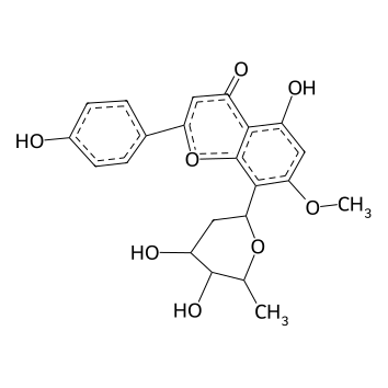 COc1cc(O)c2c(=O)cc(-c3ccc(O)cc3)oc2c1C1CC(O)C(O)C(C)O1